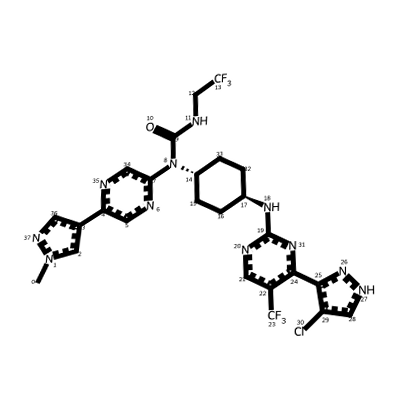 Cn1cc(-c2cnc(N(C(=O)NCC(F)(F)F)[C@H]3CC[C@H](Nc4ncc(C(F)(F)F)c(-c5n[nH]cc5Cl)n4)CC3)cn2)cn1